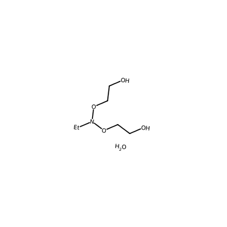 CCN(OCCO)OCCO.O